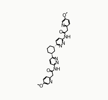 COc1ccc(CC(=O)Nc2ccc([C@H]3CCC[C@H](c4ccc(NC(=O)Cc5ccc(OC)cn5)nn4)C3)nn2)nc1